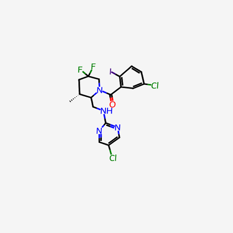 C[C@@H]1CC(F)(F)CN(C(=O)c2cc(Cl)ccc2I)C1CNc1ncc(Cl)cn1